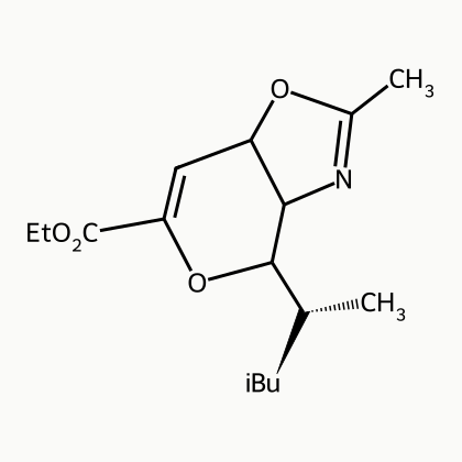 CCOC(=O)C1=CC2OC(C)=NC2C([C@H](C)[C@H](C)CC)O1